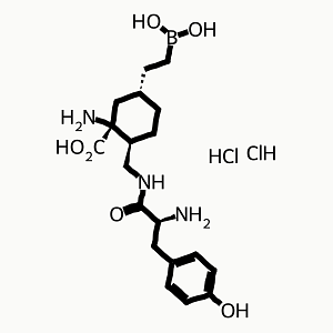 Cl.Cl.N[C@@H](Cc1ccc(O)cc1)C(=O)NC[C@@H]1CC[C@@H](CCB(O)O)C[C@]1(N)C(=O)O